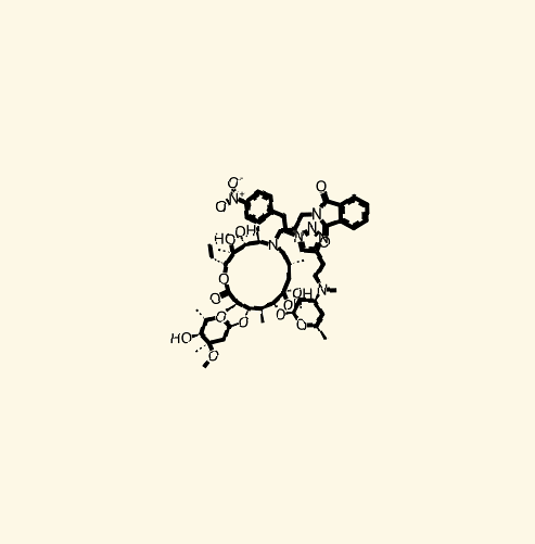 CC[C@H]1OC(=O)[C@H](C)[C@@H](O[C@H]2C[C@@](C)(OC)[C@@H](O)[C@H](C)O2)[C@H](C)[C@@H](O[C@@H]2O[C@H](C)C[C@H](N(C)CCc3cn(CCc4ccc([N+](=O)[O-])cc4)nn3)[C@H]2O)[C@](C)(O)C[C@@H](C)CN(CCCN2C(=O)c3ccccc3C2=O)[C@H](C)[C@@H](O)[C@]1(C)O